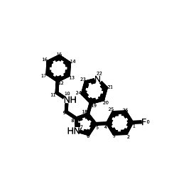 Fc1ccc(-c2c[nH]c(CNCc3ccccc3)c2-c2ccncc2)cc1